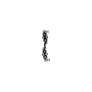 O=S(=O)(c1ccc(O)cc1)c1ccc(OCC#CCOc2ccc(S(=O)(=O)c3ccc(O)cc3)cc2)cc1